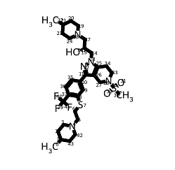 CC1CCN(CCSc2cc(-c3nn(C[C@@H](O)CN4CCC(C)CC4)c4c3CN(S(C)(=O)=O)CC4)ccc2C(F)(F)F)CC1